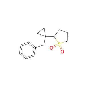 O=S1(=O)CCCC1C1(Cc2ccccc2)CC1